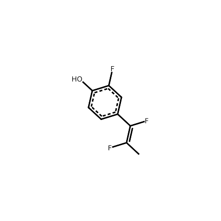 CC(F)=C(F)c1ccc(O)c(F)c1